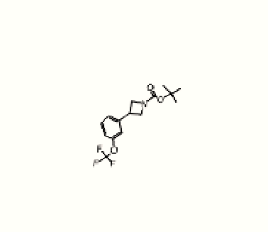 CC(C)(C)OC(=O)N1CC(c2cccc(OC(F)(F)F)c2)C1